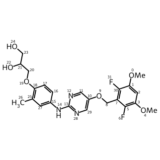 COc1cc(OC)c(F)c(COc2cnc(Nc3ccc(OCC(O)CO)c(C)c3)nc2)c1F